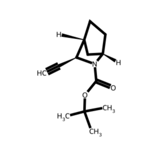 C#C[C@H]1[C@@H]2CC[C@@H](C2)N1C(=O)OC(C)(C)C